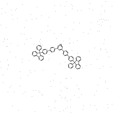 c1ccc(C2(c3ccc(-c4ccc(-c5cncc(-c6ccc(-c7ccc(C8(c9ccccc9)c9ccccc9-c9ccccc98)cc7)cc6)c5)cc4)cc3)c3ccccc3-c3ccccc32)cc1